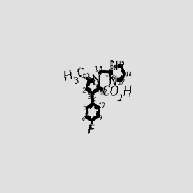 Cc1cc(-c2ccc(F)cc2)c(C(=O)O)n1Cc1ncccn1